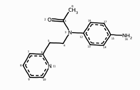 CC(=O)N(CCc1ccccn1)c1ccc(N)cc1